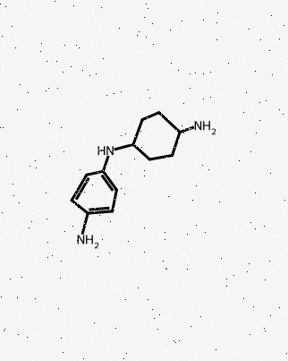 Nc1ccc(NC2CCC(N)CC2)cc1